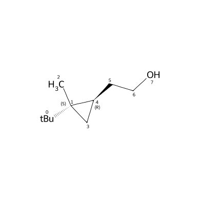 CC(C)(C)[C@@]1(C)C[C@@H]1CCO